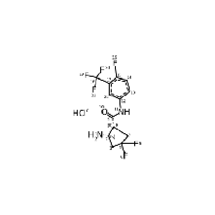 Cl.N[C@H]1CC(F)(F)C[C@H]1C(=O)Nc1ccc(F)c(C(F)(F)F)c1